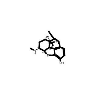 CN[C@@H]1CC[C@@]2(O)C3Cc4ccc(O)c5c4[C@@]2(CCN3C)[C@H]1O5